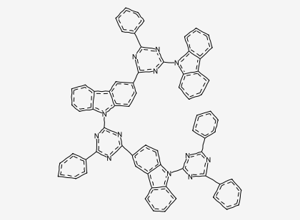 c1ccc(-c2nc(-c3ccc4c(c3)c3ccccc3n4-c3nc(-c4ccccc4)nc(-c4ccc5c(c4)c4ccccc4n5-c4nc(-c5ccccc5)nc(-c5ccccc5)n4)n3)nc(-n3c4ccccc4c4ccccc43)n2)cc1